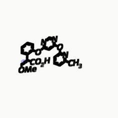 CO/C=C(\C(=O)O)c1ccccc1Oc1cc(Oc2cccc(C)n2)ncn1